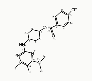 Cc1nc(NC2CCC(NC(=O)c3ccc(Cl)cc3)CC2)nc(N(C)C)c1C